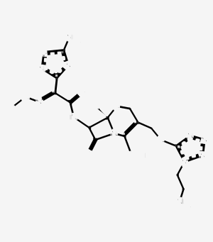 CCON=C(C(=O)NC1C(=O)N2C(C(=O)O)=C(CSc3nnnn3CCN)CS[C@@H]12)c1nsc(N)n1